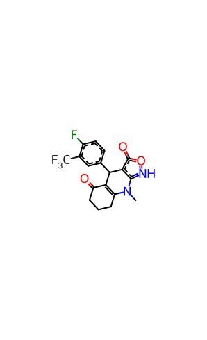 CN1C2=C(C(=O)CCC2)C(c2ccc(F)c(C(F)(F)F)c2)c2c1[nH]oc2=O